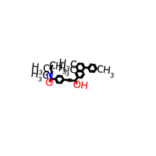 Cc1ccc(C2=CCC(C)(C)c3cc(C(O)C#Cc4ccc(C(=O)N(C)CC(C)C)cc4)ccc32)cc1